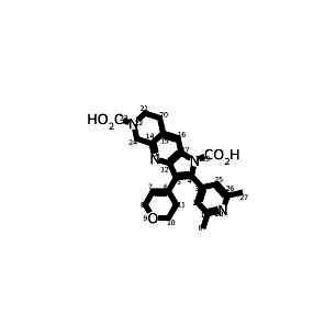 Cc1cc(-c2c(C3=CCOCC3)c3nc4c(cc3n2C(=O)O)CCN(C(=O)O)C4)cc(C)n1